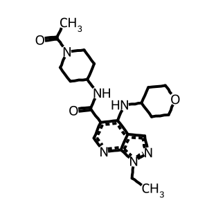 CCn1ncc2c(NC3CCOCC3)c(C(=O)NC3CCN(C(C)=O)CC3)cnc21